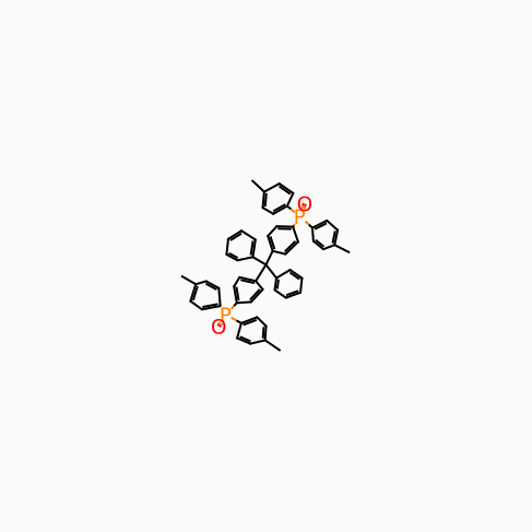 Cc1ccc(P(=O)(c2ccc(C)cc2)c2ccc(C(c3ccccc3)(c3ccccc3)c3ccc(P(=O)(c4ccc(C)cc4)c4ccc(C)cc4)cc3)cc2)cc1